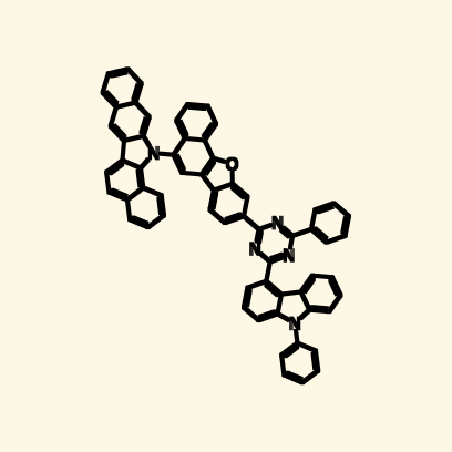 c1ccc(-c2nc(-c3ccc4c(c3)oc3c5ccccc5c(-n5c6cc7ccccc7cc6c6ccc7ccccc7c65)cc43)nc(-c3cccc4c3c3ccccc3n4-c3ccccc3)n2)cc1